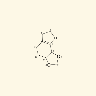 C1CC2=C(C1)C1OCOC1CC2